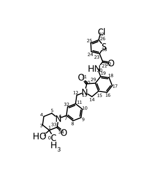 CC1(O)CCCN(c2cccc(CN3Cc4cccc(NC(=O)c5ccc(Cl)s5)c4C3=O)c2)C1=O